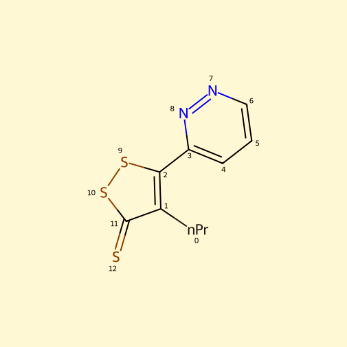 CCCc1c(-c2cccnn2)ssc1=S